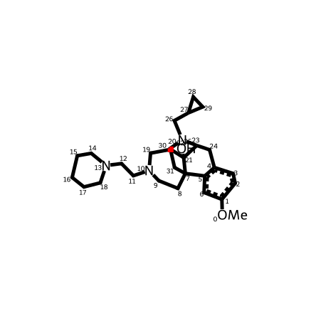 COc1ccc2c(c1)C13CCN(CCN4CCCCC4)CCC1(O)C(C2)N(CC1CC1)CC3